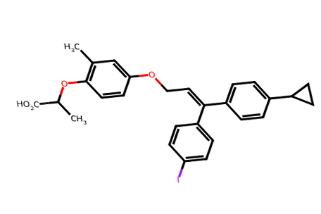 Cc1cc(OC/C=C(\c2ccc(I)cc2)c2ccc(C3CC3)cc2)ccc1OC(C)C(=O)O